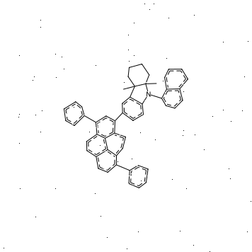 CC12CCCCC1(C)N(c1cccc3ccccc13)c1ccc(-c3cc(-c4ccccc4)c4ccc5ccc(-c6ccccc6)c6ccc3c4c56)cc12